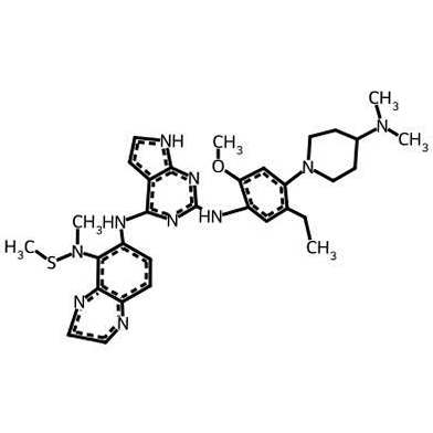 CCc1cc(Nc2nc(Nc3ccc4nccnc4c3N(C)SC)c3cc[nH]c3n2)c(OC)cc1N1CCC(N(C)C)CC1